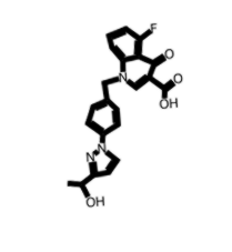 CC(O)c1ccn(-c2ccc(Cn3cc(C(=O)O)c(=O)c4c(F)cccc43)cc2)n1